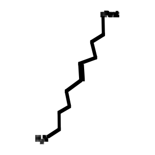 CCCCCCCCC=CCCCCN